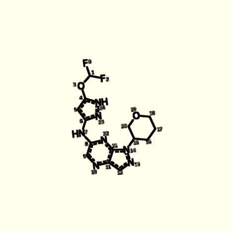 FC(F)Oc1cc(Nc2cnc3cnn(C4CCCOC4)c3n2)n[nH]1